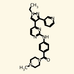 CCn1cc(-c2ccnc(Nc3ccc(C(=O)N4CCN(C)CC4)cc3)n2)c(-c2cccnc2)n1